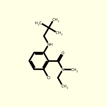 CCN(C)C(=O)c1c(Cl)cccc1NCC(C)(C)C